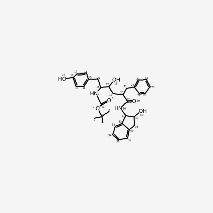 CC(C)(C)OC(=O)NC(Cc1ccc(O)cc1)C(O)CC(Cc1ccccc1)C(=O)NC1c2ccccc2CC1O